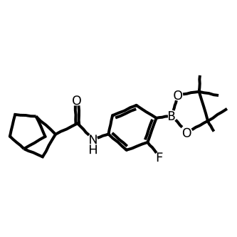 CC1(C)OB(c2ccc(NC(=O)C3CC4CCC3C4)cc2F)OC1(C)C